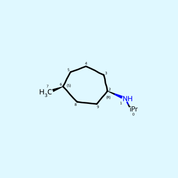 CC(C)N[C@@H]1CCC[C@H](C)CC1